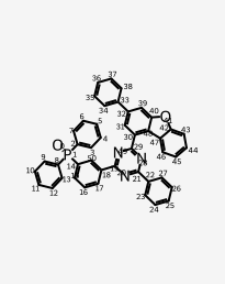 O=P(c1ccccc1)(c1ccccc1)c1cccc(-c2nc(-c3ccccc3)nc(-c3cc(-c4ccccc4)cc4oc5ccccc5c34)n2)c1